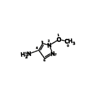 COn1cc(N)cn1